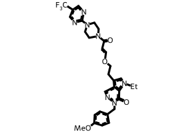 CCn1cc(CCO/C=C/C(=O)N2CCN(c3ncc(C(F)(F)F)cn3)CC2)c2cnn(Cc3ccc(OC)cc3)c(=O)c21